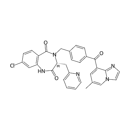 Cc1cc(C(=O)c2ccc(CN3C(=O)c4ccc(Cl)cc4NC(=O)[C@H]3Cc3ccccn3)cc2)c2nccn2c1